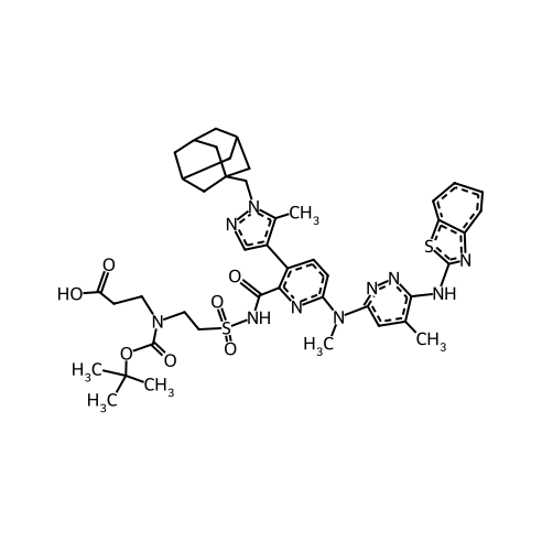 Cc1cc(N(C)c2ccc(-c3cnn(CC45CC6CC(CC(C6)C4)C5)c3C)c(C(=O)NS(=O)(=O)CCN(CCC(=O)O)C(=O)OC(C)(C)C)n2)nnc1Nc1nc2ccccc2s1